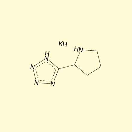 C1CNC(c2nnn[nH]2)C1.[KH]